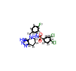 O=S(=O)(Nc1cc(F)ccc1CN1CCCc2nn[nH]c21)c1ccc(Cl)c(Cl)c1